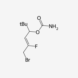 CC(C)(C)C(C=C(F)CBr)OC(N)=O